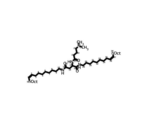 CCCCCCCC/C=C\CCCCCCCCNC(=O)CC(NC(=O)CCCN(C)C)C(=O)NCCCCCCCC/C=C\CCCCCCCC